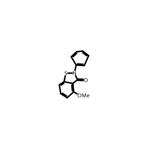 COc1cccc2sn(-c3ccccc3)c(=O)c12